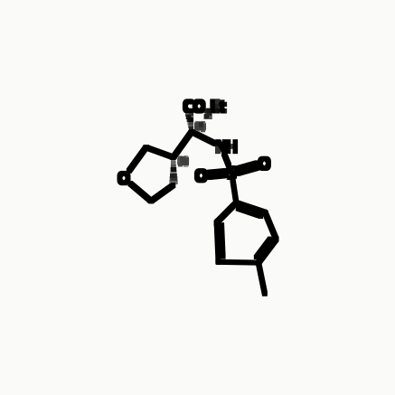 CCOC(=O)[C@H](NS(=O)(=O)c1ccc(C)cc1)[C@@H]1CCOC1